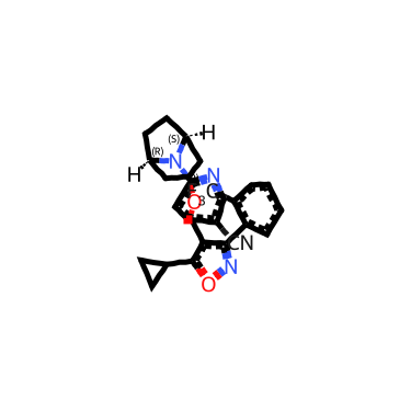 N#Cc1ccc(N2[C@@H]3CC[C@H]2C[C@@H](OCc2c(-c4ccccc4C(F)(F)F)noc2C2CC2)C3)nc1